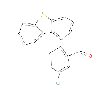 O=Cc1cc(Cl)ccc1-c1cccc2sc3ccccc3c12